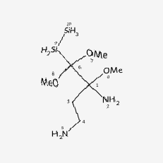 COC(N)(CCN)C(OC)(OC)[SiH2][SiH3]